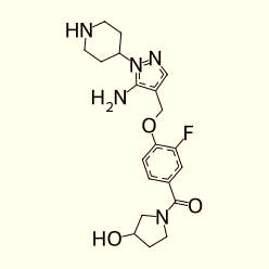 Nc1c(COc2ccc(C(=O)N3CCC(O)C3)cc2F)cnn1C1CCNCC1